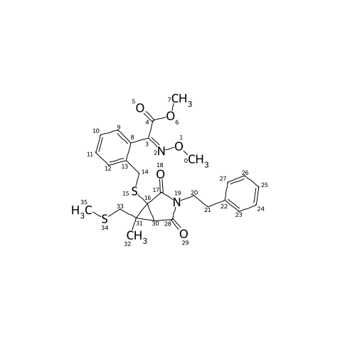 CON=C(C(=O)OC)c1ccccc1CSC12C(=O)N(CCc3ccccc3)C(=O)C1C2(C)CSC